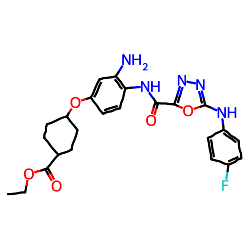 CCOC(=O)C1CCC(Oc2ccc(NC(=O)c3nnc(Nc4ccc(F)cc4)o3)c(N)c2)CC1